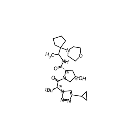 CC(NC(=O)[C@@H]1C[C@@H](O)CN1C(=O)[C@@H](n1cc(C2CC2)nn1)C(C)(C)C)C1(N2CCOCC2)CCCC1